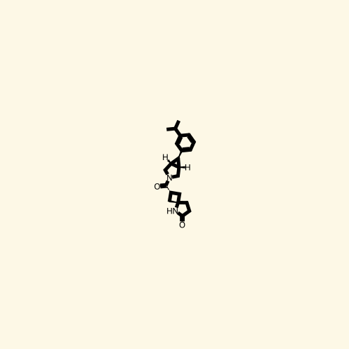 CC(C)c1cccc([C@H]2[C@@H]3CN(C(=O)[C@H]4C[C@]5(CCC(=O)N5)C4)C[C@@H]32)c1